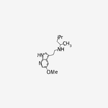 COc1cnc2[nH]cc(CCNC(C)CC(C)C)c2c1